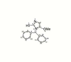 COc1cnc(S)n1C(c1ccccc1)c1ccccc1